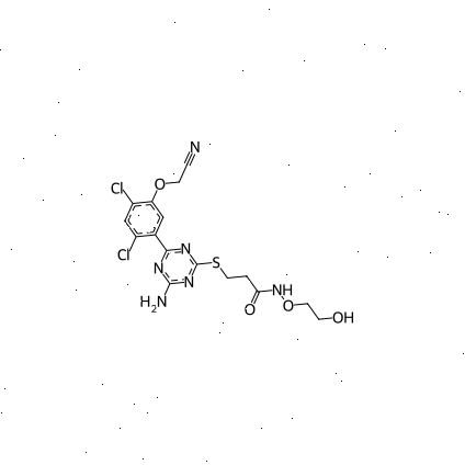 N#CCOc1cc(-c2nc(N)nc(SCCC(=O)NOCCO)n2)c(Cl)cc1Cl